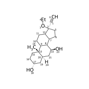 C#C[C@]1(OCC)CCC2C3C(CCC21)[C@@]1(C)CC[C@@H](O)C[C@@H]1C[C@@H]3O